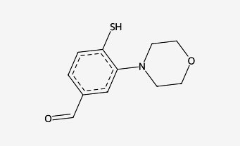 O=Cc1ccc(S)c(N2CCOCC2)c1